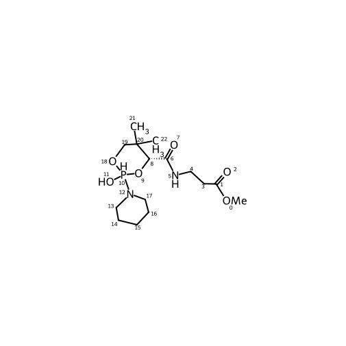 COC(=O)CCNC(=O)[C@@H]1O[PH](O)(N2CCCCC2)OCC1(C)C